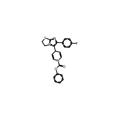 O=C(Oc1ccccc1)N1C=CC(c2c(-c3ccc(F)cc3)nc3n2CCS3)C=C1